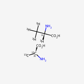 [13CH3][13C@H](N)C(=O)O.[2H]C([2H])([2H])[C@]([2H])(N)C(=O)O